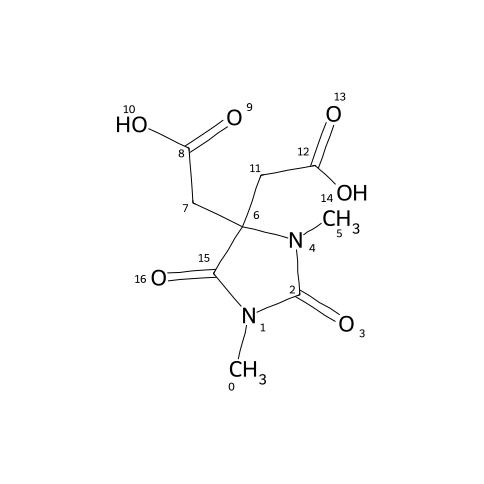 CN1C(=O)N(C)C(CC(=O)O)(CC(=O)O)C1=O